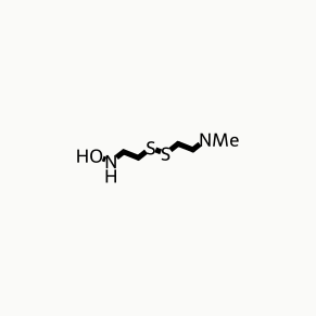 CNCCSSCCNO